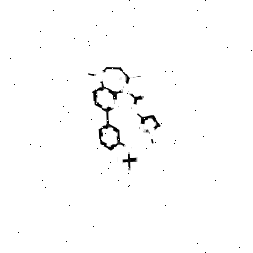 C[C@@H]1CCN(C)c2ccc(-c3cccc(OC(F)(F)F)c3)nc2N1C(=O)Nc1ccn(C)n1